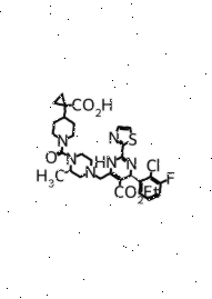 CCOC(=O)C1=C(CN2CCN(C(=O)N3CCC(C4(C(=O)O)CC4)CC3)[C@H](C)C2)NC(c2nccs2)=N[C@H]1c1cccc(F)c1Cl